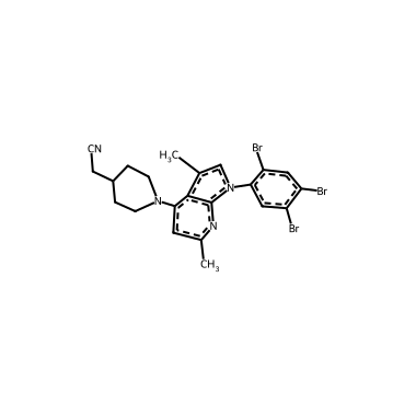 Cc1cc(N2CCC(CC#N)CC2)c2c(C)cn(-c3cc(Br)c(Br)cc3Br)c2n1